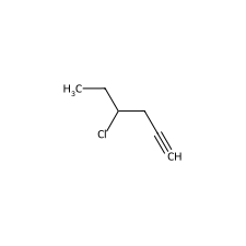 C#CCC(Cl)CC